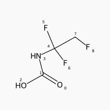 O=C(O)NC(F)(F)CF